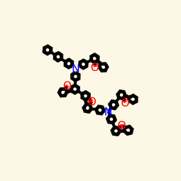 c1ccc(-c2ccc(-c3ccc(N(c4ccc(-c5cccc6c5oc5ccccc56)cc4)c4ccc(-c5cc(-c6ccc7oc8c(-c9ccc(N(c%10ccc(-c%11cccc%12c%11oc%11ccccc%11%12)cc%10)c%10ccc(-c%11cccc%12c%11oc%11ccccc%11%12)cc%10)cc9)cccc8c7c6)cc6c5oc5ccccc56)cc4)cc3)cc2)cc1